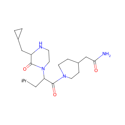 CC(C)CC(C(=O)N1CCC(CC(N)=O)CC1)N1CCNC(CC2CC2)C1=O